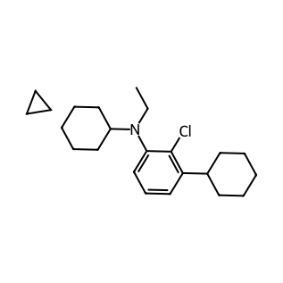 C1CC1.CCN(c1cccc(C2CCCCC2)c1Cl)C1CCCCC1